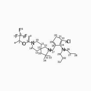 C=C(OC(C)C(F)(F)F)N1CCC2(CC1)CN(CC1=CCCC(Cl)=C1N(CCC)CCC)C(C)(C)C2